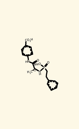 COP(=O)(CCc1ccccc1)N[C@@H](C)C(=O)Nc1ccc(C(=O)O)cc1